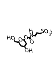 O=C(NCCCS(=O)(=O)O)OC1CC(O)CC(CO)O1